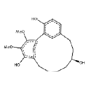 COc1c2cc(c(O)c1OC)CCCC[C@H](O)CCc1ccc(O)c-2c1